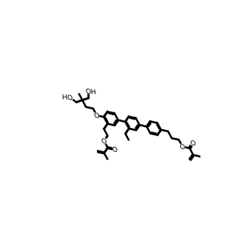 C=C(C)C(=O)OCCCc1ccc(-c2ccc(-c3ccc(OCCC(C)(CO)CO)c(CCOC(=O)C(=C)C)c3)c(CC)c2)cc1